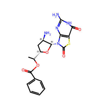 CC(OC(=O)c1ccccc1)[C@@H]1C[C@@H](N)[C@H](n2c(=O)sc3c(=O)[nH]c(N)nc32)O1